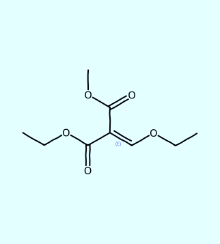 CCO/C=C(\C(=O)OC)C(=O)OCC